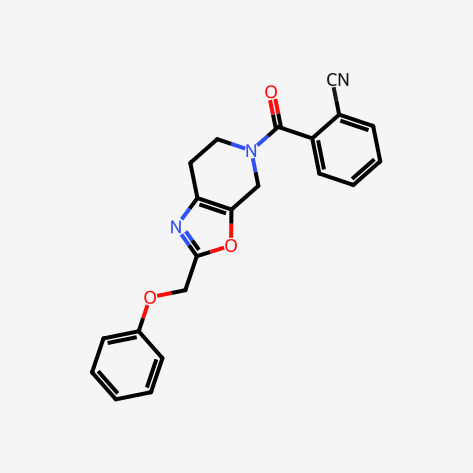 N#Cc1ccccc1C(=O)N1CCc2nc(COc3ccccc3)oc2C1